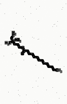 CCCCCCCCCCCCCC(=O)OCCC[N+](C)(C)CC